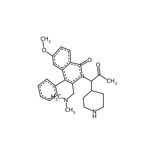 COc1ccc2c(=O)n(C(C(C)=O)C3CCNCC3)c(CN(C)C)c(-c3ccccc3)c2c1